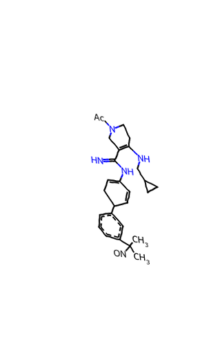 CC(=O)N1CCC(NCC2CC2)=C(C(=N)NC2=CCC(c3cccc(C(C)(C)N=O)c3)C=C2)C1